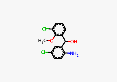 COc1c(Cl)cccc1C(O)c1cc(Cl)ccc1N